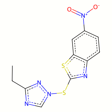 CCc1ncn(Sc2nc3ccc([N+](=O)[O-])cc3s2)n1